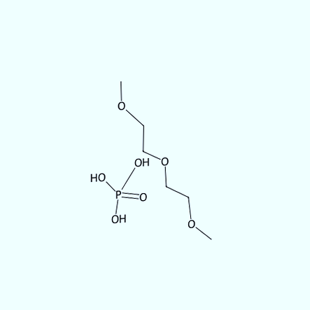 COCCOCCOC.O=P(O)(O)O